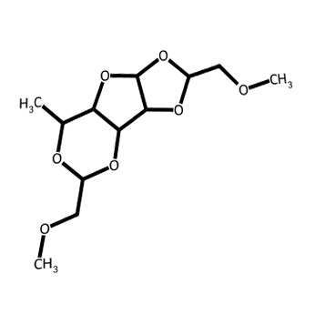 COCC1OC2OC3C(C)OC(COC)OC3C2O1